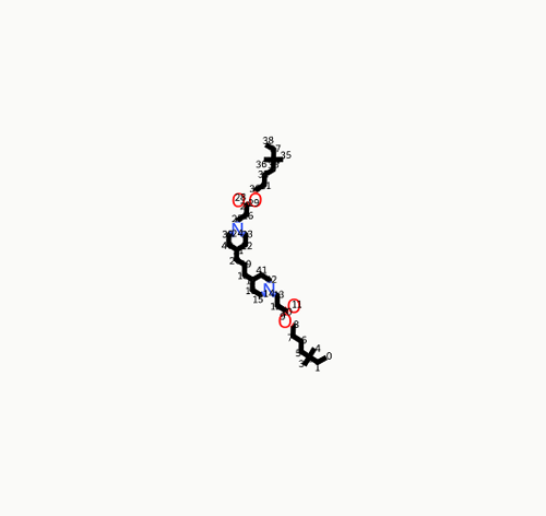 CCC(C)(C)CCCCOC(=O)CCN1CCC(CCCC2CCN(CCC(=O)OCCCCC(C)(C)CC)CC2)CC1